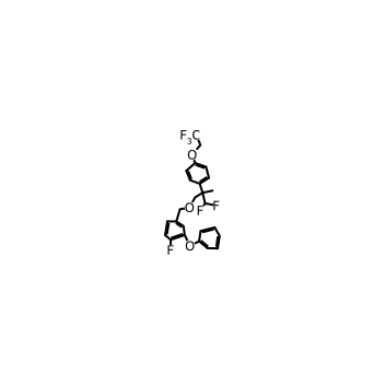 CC(COCc1ccc(F)c(Oc2ccccc2)c1)(c1ccc(OCC(F)(F)F)cc1)C(F)F